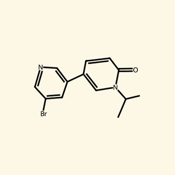 CC(C)n1cc(-c2cncc(Br)c2)ccc1=O